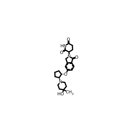 CC1(O)CCN([C@H]2CCC[C@@H]2Oc2ccc3c(c2)CN(C2CCC(=O)NC2=O)C3=O)CC1